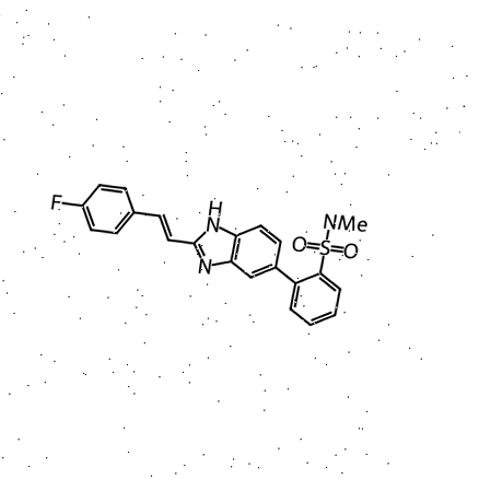 CNS(=O)(=O)c1ccccc1-c1ccc2[nH]c(C=Cc3ccc(F)cc3)nc2c1